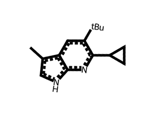 Cc1c[nH]c2nc(C3CC3)c(C(C)(C)C)cc12